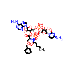 C=CCCC(=O)NC(COCc1ccccc1)C(=O)O[C@H]1[C@@H](O)[C@H](n2cnc3c(N)ncnc32)O[C@@H]1COP(=O)(O)O[C@H]1[C@@H](O)[C@H](n2ccc(N)nc2=O)O[C@@H]1COP(=O)(O)O